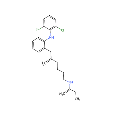 C=C(CCCCNC(=C)CC)Cc1ccccc1Nc1c(Cl)cccc1Cl